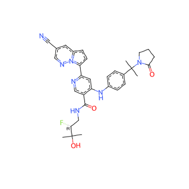 CC(C)(O)[C@H](F)CNC(=O)c1cnc(-c2ccc3cc(C#N)cnn23)cc1Nc1ccc(C(C)(C)N2CCCC2=O)cc1